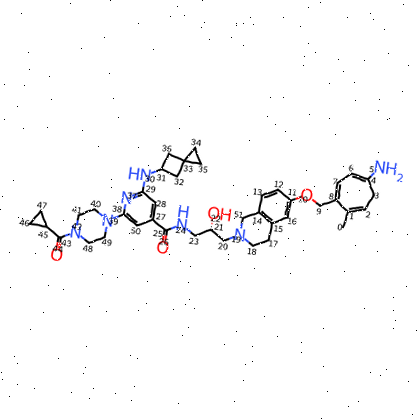 CC1=CCC(N)=CC=C1COc1ccc2c(c1)CCN(C[C@@H](O)CNC(=O)c1cc(NC3CC4(CC4)C3)nc(N3CCN(C(=O)C4CC4)CC3)c1)C2